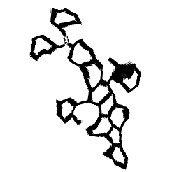 Cc1ccccc1-c1c2c(c(-c3ccccc3C)c3cc4ccc(N(c5ccccc5)c5ccccc5)cc4cc13)C1=C3C2=CC=C2c4ccccc4C(C=C1)C23